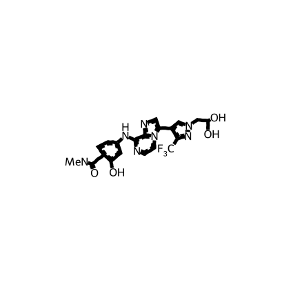 CNC(=O)c1ccc(Nc2nccn3c(-c4cn(CC(O)O)nc4C(F)(F)F)cnc23)cc1O